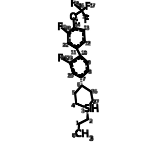 CCC[Si@H]1CC[C@H](c2ccc(-c3ccc(OC(F)(F)F)c(F)c3)c(F)c2)CC1